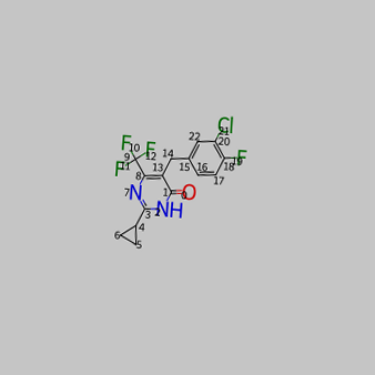 O=c1[nH]c(C2CC2)nc(C(F)(F)F)c1Cc1ccc(F)c(Cl)c1